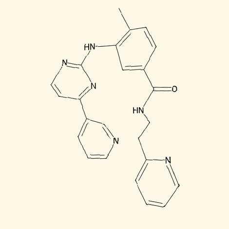 Cc1ccc(C(=O)NCCc2ccccn2)cc1Nc1nccc(-c2cccnc2)n1